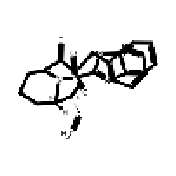 C=C[C@H]1CN(Cc2ccccn2)C(=O)C2CCC[C@@H]1N2S(=O)(=O)c1nc2ccccc2[nH]1